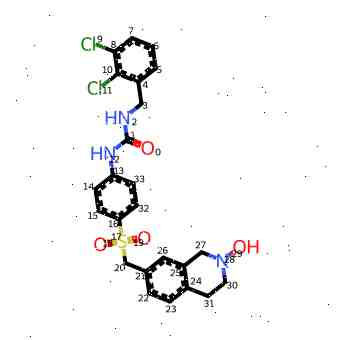 O=C(NCc1cccc(Cl)c1Cl)Nc1ccc(S(=O)(=O)Cc2ccc3c(c2)CN(O)CC3)cc1